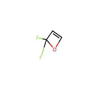 FC1(F)C=CO1